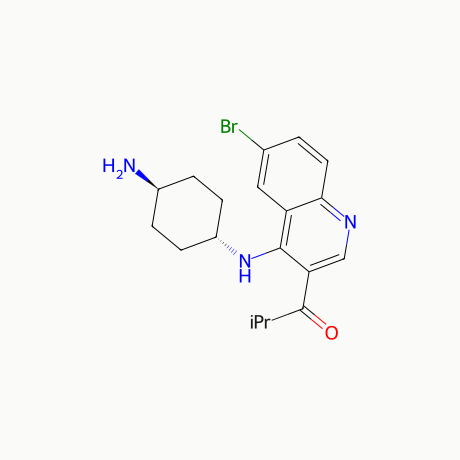 CC(C)C(=O)c1cnc2ccc(Br)cc2c1N[C@H]1CC[C@H](N)CC1